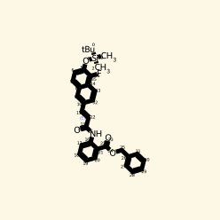 CC(C)(C)[Si](C)(C)Oc1ccc2cc(/C=C/C(=O)Nc3ccccc3C(=O)OCc3ccccc3)ccc2c1F